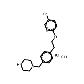 Brc1ccc(OCCc2ccc(CN3CCNCC3)cc2)nc1.Cl.Cl